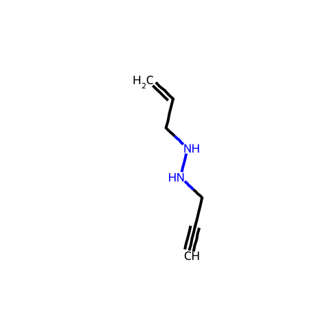 C#CCNNCC=C